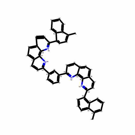 Cc1ccc(-c2c#cc3ccc4ccc(-c5cccc(-c6ccc7ccc8ccc(-c9cccc%10c(C)cccc9%10)nc8c7n6)c5)nc4c3n2)c2ccccc12